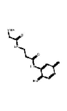 C=C1C=CC(=N)C(NC(=O)CCNC(=O)CSC)=C1